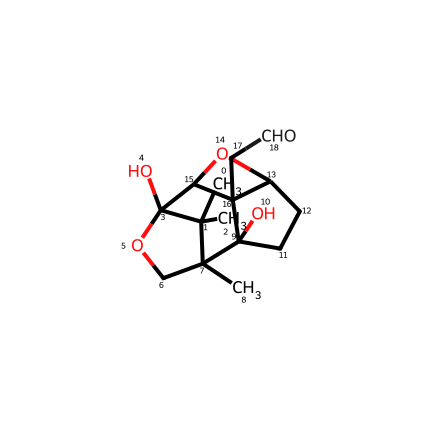 CC1(C)C2(O)OCC1(C)C1(O)CCC3OC2C31CC=O